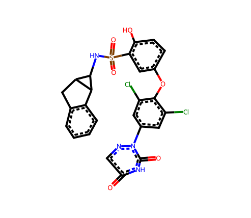 O=c1cnn(-c2cc(Cl)c(Oc3ccc(O)c(S(=O)(=O)NC4C5Cc6ccccc6C54)c3)c(Cl)c2)c(=O)[nH]1